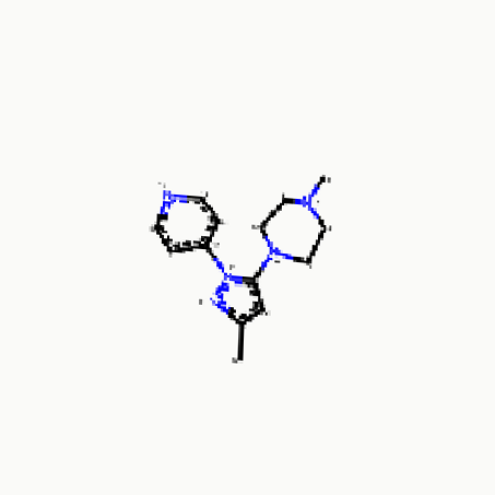 Cc1cc(N2CCN(C)CC2)n(-c2ccncc2)n1